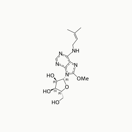 COc1nc2c(NCC=C(C)C)ncnc2n1[C@@H]1O[C@H](CO)[C@@H](O)[C@H]1O